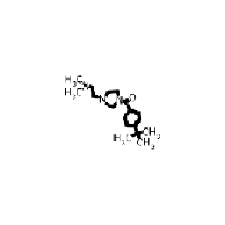 CN(C)CCN1CCN(C(=O)c2ccc(C(C)(C)C)cc2)CC1